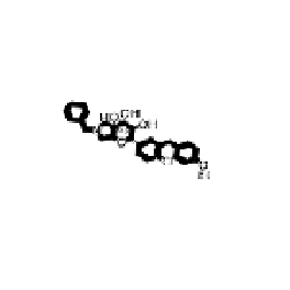 CCOc1ccc(Cc2cc([C@@H]3OC4CN(Cc5ccccc5)C[C@@]4(O)[C@H](O)[C@H]3O)ccc2Cl)cc1